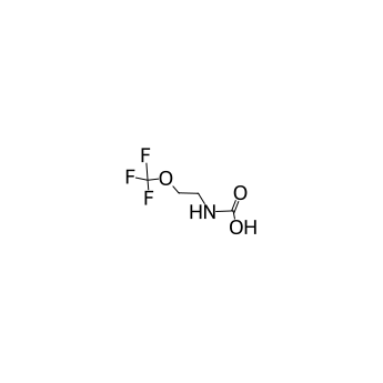 O=C(O)NCCOC(F)(F)F